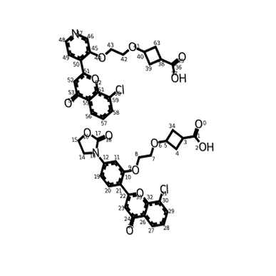 O=C(O)C1CC(OCCOc2cc(N3CCOC3=O)ccc2-c2cc(=O)c3cccc(Cl)c3o2)C1.O=C(O)C1CC(OCCOc2cnccc2-c2cc(=O)c3cccc(Cl)c3o2)C1